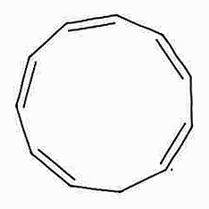 [C]1=C/C=C\C=C/C=C\C=C/C\1